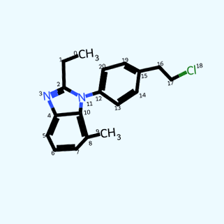 CCc1nc2cccc(C)c2n1-c1ccc(CCCl)cc1